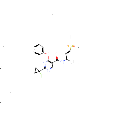 CC(C=CS(C)(=O)=O)NC(=O)c1cnc(C2(F)CC2)nc1Oc1ccccc1